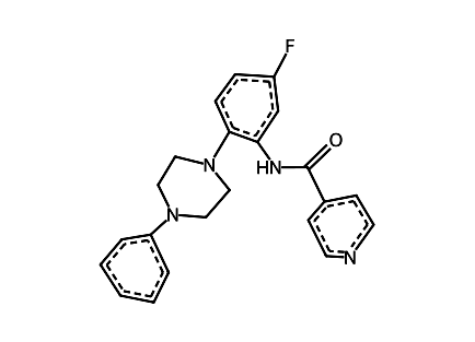 O=C(Nc1cc(F)ccc1N1CCN(c2ccccc2)CC1)c1ccncc1